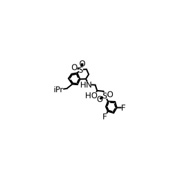 CC(C)Cc1ccc2c(c1)C(NCC(O)CS(=O)(=O)c1cc(F)cc(F)c1)CCS2(=O)=O